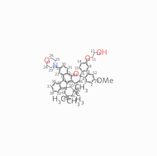 COc1ccc(C2(c3ccc(OCCO)cc3)C=Cc3c4c(c5cc(N6CCOCC6)ccc5c3O2)-c2ccccc2C42CC(C)(C)CC(C)(C)C2)cc1